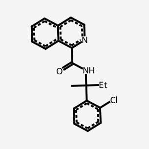 CCC(C)(NC(=O)c1nccc2ccccc12)c1ccccc1Cl